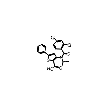 CC(C)N(C(=S)c1ccc(Cl)cc1Cl)c1cc(-c2ccccc2)sc1C(=O)O